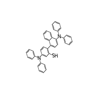 Sc1cc(N(c2ccccc2)c2ccccc2)ccc1-c1ccc(N(c2ccccc2)c2ccccc2)c2ccccc12